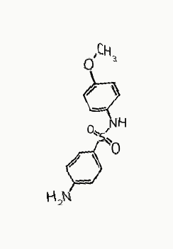 COc1ccc(NS(=O)(=O)c2ccc(N)cc2)cc1